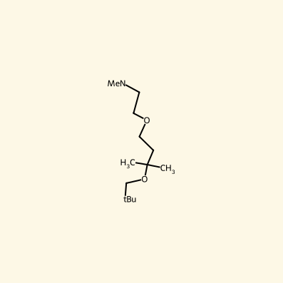 CNCCOCCC(C)(C)OCC(C)(C)C